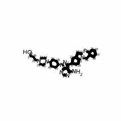 Nc1ncnc2c1c(-c1ccc3c(ccn3Cc3ccccc3F)c1)nn2[C@H]1CC[C@H](N2CCN(CCCO)CC2)CC1